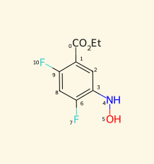 CCOC(=O)c1cc(NO)c(F)cc1F